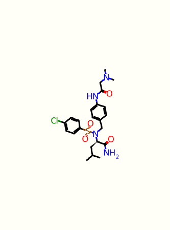 CC(C)C[C@H](C(N)=O)N(Cc1ccc(NC(=O)CN(C)C)cc1)S(=O)(=O)c1ccc(Cl)cc1